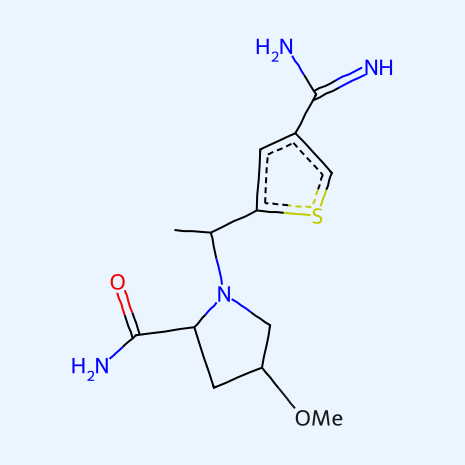 COC1CC(C(N)=O)N(C(C)c2cc(C(=N)N)cs2)C1